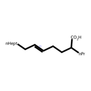 CCCCCCCC/C=C/CCC(CCC)C(=O)O